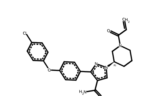 C=CC(=O)N1CCC[C@@H](n2cc(C(N)=O)c(-c3ccc(Oc4ccc(Cl)cc4)cc3)n2)C1